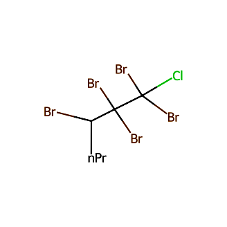 CCCC(Br)C(Br)(Br)C(Cl)(Br)Br